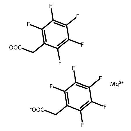 O=C([O-])Cc1c(F)c(F)c(F)c(F)c1F.O=C([O-])Cc1c(F)c(F)c(F)c(F)c1F.[Mg+2]